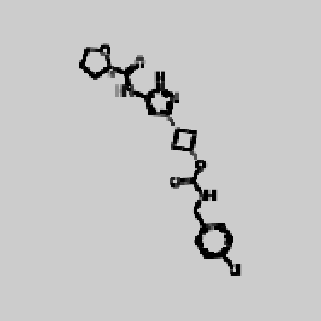 O=C(NCc1ccc(Cl)cc1)O[C@H]1C[C@@H](c2cc(NC(=O)[C@H]3CCCO3)[nH]n2)C1